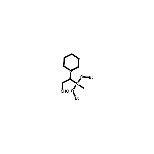 CCO[Si](C)(OCC)C(CC=O)N1CCCCC1